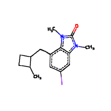 CC1CCC1Cc1cc(I)cc2c1n(C)c(=O)n2C